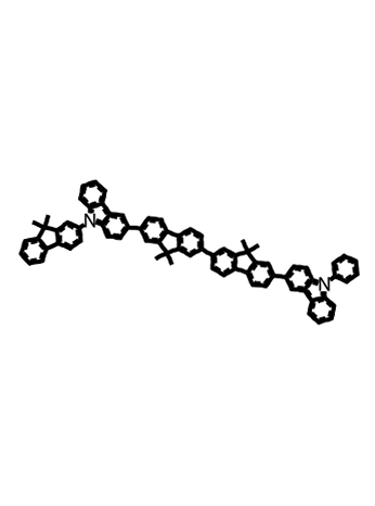 CC1(C)c2cc(-c3ccc4c(c3)C(C)(C)c3cc(-c5ccc6c(c5)c5ccccc5n6-c5ccc6c(c5)C(C)(C)c5ccccc5-6)ccc3-4)ccc2-c2ccc(-c3ccc4c(c3)c3ccccc3n4-c3ccccc3)cc21